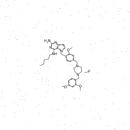 CCCCCNc1nc(N)nc2ccn(Cc3ccc(CN4CCN(Cc5ccc(OC)cc5OC)[C@@H](CF)C4)cc3OC)c12